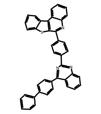 c1ccc(-c2ccc(-c3nc(-c4ccc(-c5nc6ccccc6c6c5sc5ccccc56)cc4)nc4ccccc34)cc2)cc1